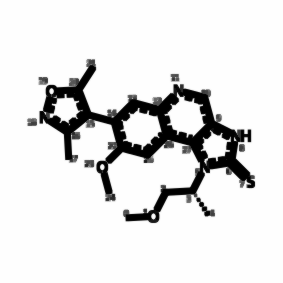 COC[C@@H](C)n1c(=S)[nH]c2cnc3cc(-c4c(C)noc4C)c(OC)cc3c21